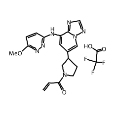 C=CC(=O)N1CCC(c2cc(Nc3ccc(OC)nn3)c3ncnn3c2)C1.O=C(O)C(F)(F)F